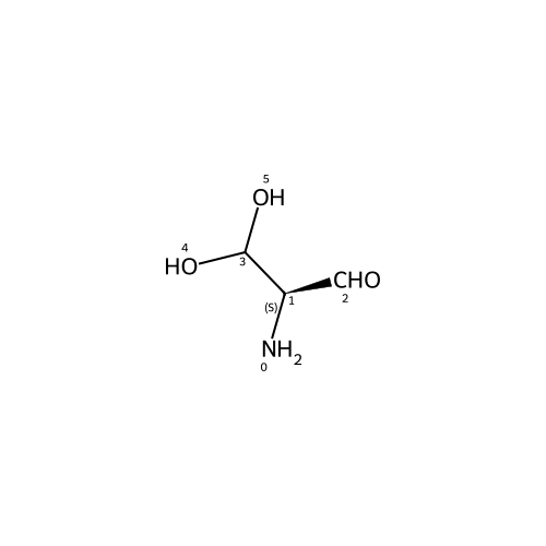 N[C@H](C=O)C(O)O